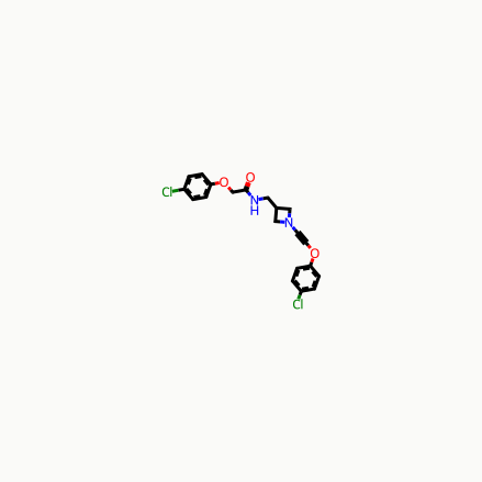 O=C(COc1ccc(Cl)cc1)NCC1CN(C#COc2ccc(Cl)cc2)C1